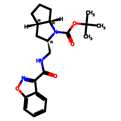 CC(C)(C)OC(=O)N1[C@H](CNC(=O)c2noc3ccccc23)C[C@@H]2CCC[C@@H]21